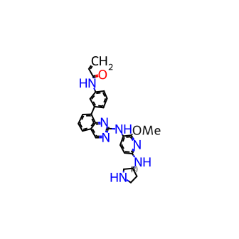 C=CC(=O)Nc1cccc(-c2cccc3cnc(Nc4ccc(N[C@@H]5CCNC5)nc4OC)nc23)c1